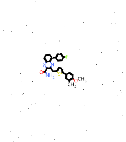 COc1ccc(-c2ccc(Cc3nc4c(-c5ccc(F)cc5)cccc4nc3C(N)=O)s2)cc1C